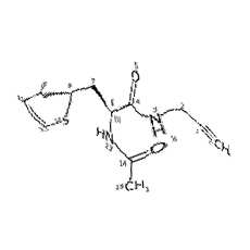 C#CCNC(=O)[C@H](CC1CC=CS1)NC(C)=O